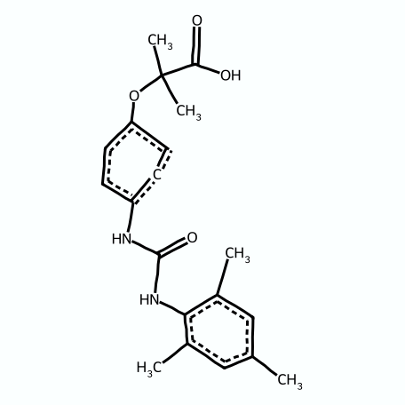 Cc1cc(C)c(NC(=O)Nc2ccc(OC(C)(C)C(=O)O)cc2)c(C)c1